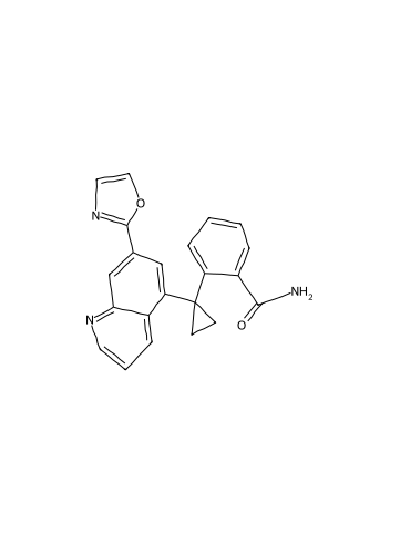 NC(=O)c1ccccc1C1(c2cc(-c3ncco3)cc3ncccc23)CC1